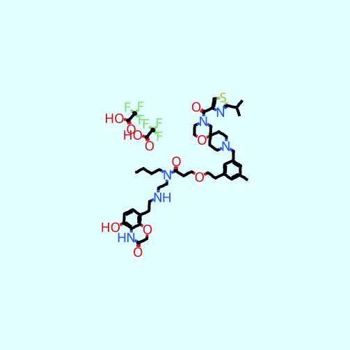 CCCCN(CCNCCc1ccc(O)c2c1OCC(=O)N2)C(=O)CCOCCc1cc(C)cc(CN2CCC3(CC2)CN(C(=O)c2csc(C(C)C)n2)CCO3)c1.O=C(O)C(F)(F)F.O=C(O)C(F)(F)F